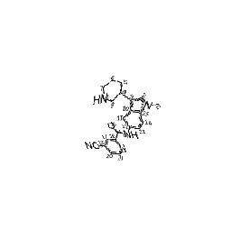 Cn1cc(C2CCCNC2)c2cc(NC(=O)c3cc(C#N)ccn3)ccc21